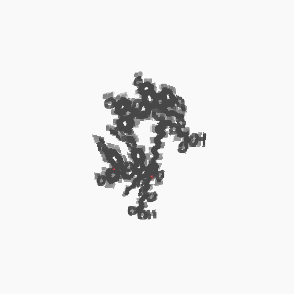 CCCCC1(OC(CCCCCCCCCCC(COC(=O)CCC(=O)O)OC2(CCCC)c3cc(OC)ccc3-c3c2c2c(c4cc(OC)ccc34)OC(c3ccc(OC)cc3)(c3ccc(OC)cc3)C=C2)COC(=O)CCC(=O)O)c2cc(OC)ccc2-c2c1c1c(c3cc(OC)ccc23)OC(c2ccc(OC)cc2)(c2ccc(OC)cc2)C=C1